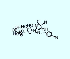 C[C@H](Nc1c(C#N)c(Cl)nc2c1ncn2[C@@H]1O[C@H](COP(=O)(O)CP(=O)(O)O)[C@@H](O)[C@H]1O)c1ccc(C#N)cc1